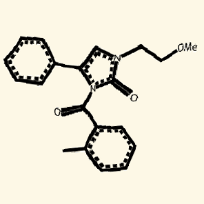 COCCn1cc(-c2ccccc2)n(C(=O)c2ccccc2C)c1=O